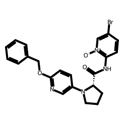 O=C(Nc1ccc(Br)c[n+]1[O-])[C@@H]1CCCN1c1ccc(OCc2ccccc2)nc1